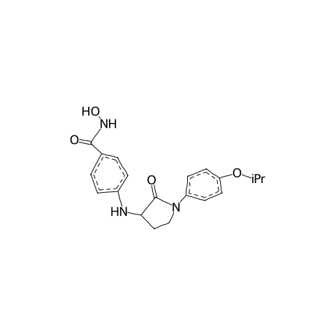 CC(C)Oc1ccc(N2CCC(Nc3ccc(C(=O)NO)cc3)C2=O)cc1